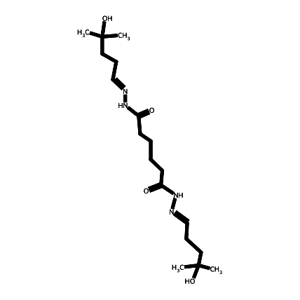 CC(C)(O)CCC=NNC(=O)CCCCC(=O)NN=CCCC(C)(C)O